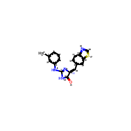 Cc1cccc(NC2=N/C(=C\c3ccc4ncsc4c3)C(=O)N2)c1